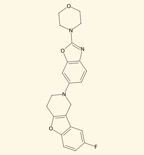 Fc1ccc2oc3c(c2c1)CN(c1ccc2nc(N4CCOCC4)oc2c1)CC3